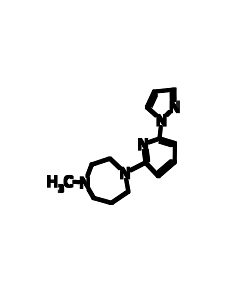 CN1CCCN(c2cccc(-n3cccn3)n2)CC1